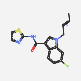 C/C=C/Cn1cc(C(=O)Nc2nccs2)c2ccc(F)cc21